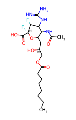 CCCCCCCC(=O)OC[C@@H](O)CC1O[C@@](F)(C(=O)O)C(F)C(NC(=N)N)C1NC(C)=O